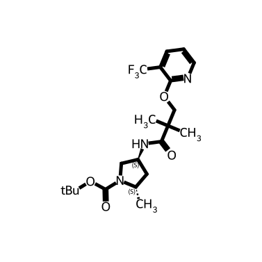 C[C@H]1C[C@H](NC(=O)C(C)(C)COc2ncccc2C(F)(F)F)CN1C(=O)OC(C)(C)C